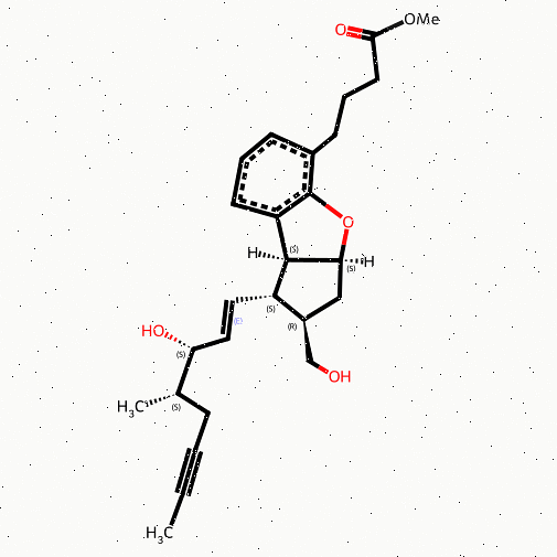 CC#CC[C@H](C)[C@H](O)/C=C/[C@H]1[C@H](CO)C[C@@H]2Oc3c(CCCC(=O)OC)cccc3[C@H]12